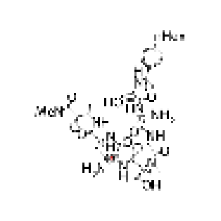 CCCCCCc1ccc(C(=O)N[C@H](CO)C(=O)N[C@H](N)C(=O)NCC(=O)N(C)[C@H](C(=O)N[C@@H](C)C(=O)N[C@@H](CC(N)=O)C(=O)NC(C)C(=O)C(=O)NC)C(C)O)cc1